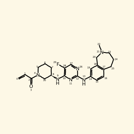 C=CC(=O)N1CCC[C@@H](Nc2nc(Nc3ccc4c(c3)CN(C)CCC4)ncc2F)C1